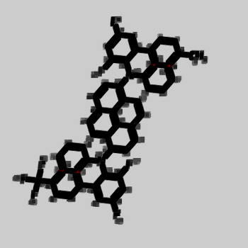 Cc1ccc(-c2cc(F)cc(F)c2N(c2ccccc2)c2ccc3ccc4c(N(c5ccccc5)c5c(F)cc(F)cc5-c5ccc(C(F)(F)F)cc5)ccc5ccc2c3c54)cc1